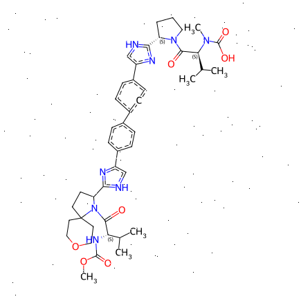 COC(=O)N[C@H](C(=O)N1C(c2nc(-c3ccc(-c4ccc(-c5c[nH]c([C@@H]6CCCN6C(=O)[C@H](C(C)C)N(C)C(=O)O)n5)cc4)cc3)c[nH]2)CCC12CCOCC2)C(C)C